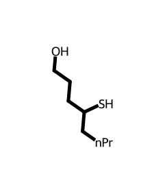 CCCCC(S)CCCO